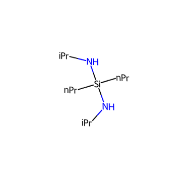 CCC[Si](CCC)(NC(C)C)NC(C)C